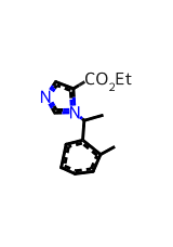 CCOC(=O)c1cncn1C(C)c1ccccc1C